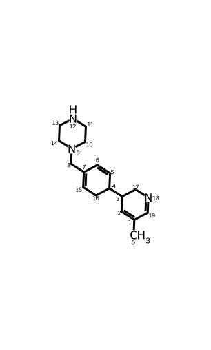 CC1=CC(C2C=CC(CN3CCNCC3)=CC2)CN=C1